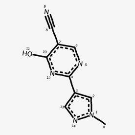 Cn1cc(-c2ncc(C#N)c(O)n2)cn1